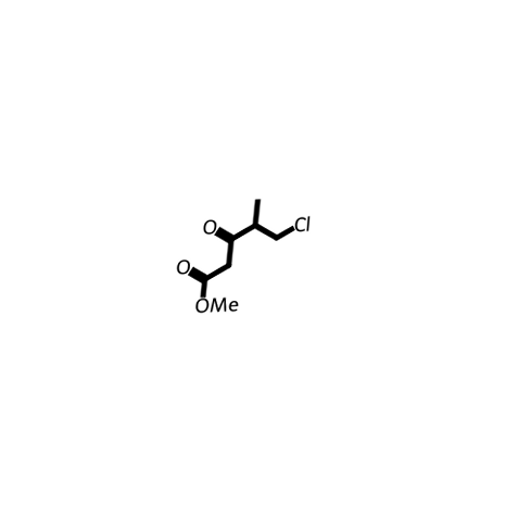 COC(=O)CC(=O)C(C)CCl